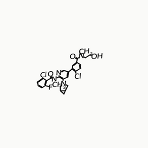 CN(CCO)C(=O)c1ccc(Cl)c(-c2cnc(N(C)C(=O)c3c(F)cccc3Cl)c(N3CC4CC4C3)c2)c1